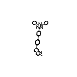 Cc1ccc2ccc(-c3ccc(-c4ccc(-c5nc(-c6ccccc6)nc(-c6ccccc6)n5)cc4)cc3)cc2n1